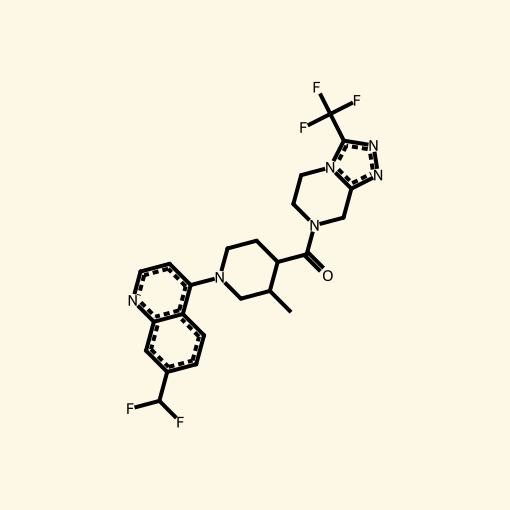 CC1CN(c2ccnc3cc(C(F)F)ccc23)CCC1C(=O)N1CCn2c(nnc2C(F)(F)F)C1